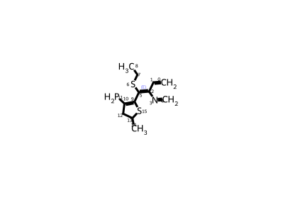 C=C/C(N=C)=C(\SCC)C1=C(P)CC(C)S1